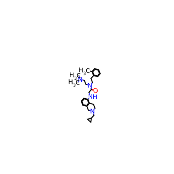 Cc1ccccc1CCN(CCN(C)C)C(=O)CNc1cccc2c1CCN(CC1CC1)C2